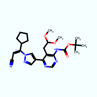 COC(Cc1c(NC(=O)OC(C)(C)C)ncnc1-c1cnn(/C(=C\C#N)C2CCCC2)c1)OC